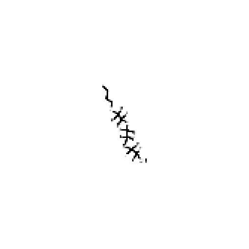 CCCCOC(F)(F)C(F)(F)OC(F)(F)C(F)(F)OC(F)(F)C(O)(F)F